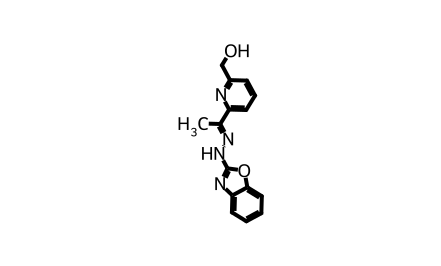 C/C(=N\Nc1nc2ccccc2o1)c1cccc(CO)n1